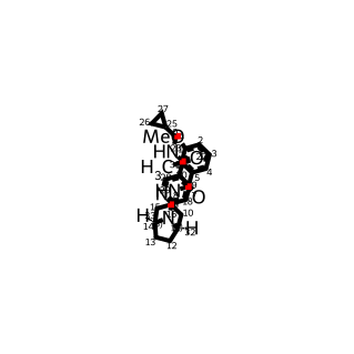 COc1cccc(C(=O)N[C@H]2C[C@H]3CC[C@@H](C2)N3c2ccc(C(=O)NCC3CC3)cn2)c1C